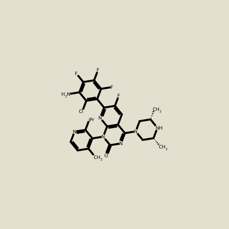 Cc1ccnc(C(C)C)c1-n1c(=O)nc(N2C[C@@H](C)N[C@@H](C)C2)c2cc(F)c(-c3c(F)c(F)c(F)c(N)c3Cl)nc21